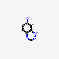 Nc1ccc2ncnnc2c1